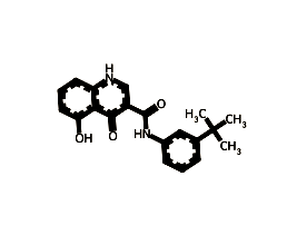 CC(C)(C)c1cccc(NC(=O)c2c[nH]c3cccc(O)c3c2=O)c1